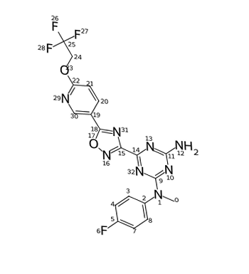 CN(c1ccc(F)cc1)c1nc(N)nc(-c2noc(-c3ccc(OCC(F)(F)F)nc3)n2)n1